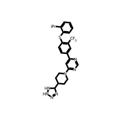 CC(C)c1ccccc1Sc1ccc(-c2cc(N3CCC(C4N=NNN4)CC3)ncn2)cc1C(F)(F)F